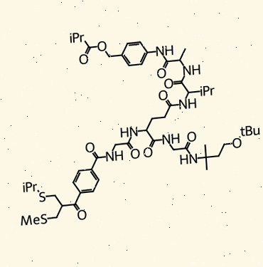 CSCC(CSC(C)C)C(=O)c1ccc(C(=O)NCC(=O)NC(CCC(=O)NC(C(=O)NC(C)C(=O)Nc2ccc(COC(=O)C(C)C)cc2)C(C)C)C(=O)NCC(=O)NC(C)(C)CCOC(C)(C)C)cc1